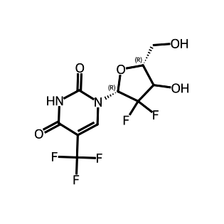 O=c1[nH]c(=O)n([C@@H]2O[C@H](CO)C(O)C2(F)F)cc1C(F)(F)F